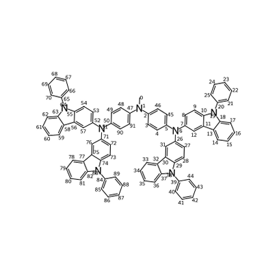 CN(c1ccc(N(c2ccc3c(c2)c2ccccc2n3-c2ccccc2)c2ccc3c(c2)c2ccccc2n3-c2ccccc2)cc1)c1ccc(N(c2ccc3c(c2)c2ccccc2n3-c2ccccc2)c2ccc3c(c2)c2ccccc2n3-c2ccccc2)cc1